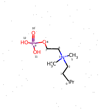 CC(C)CC[N+](C)(C)CCOP(=O)(O)O